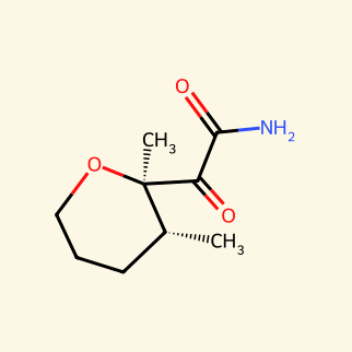 C[C@@H]1CCCO[C@@]1(C)C(=O)C(N)=O